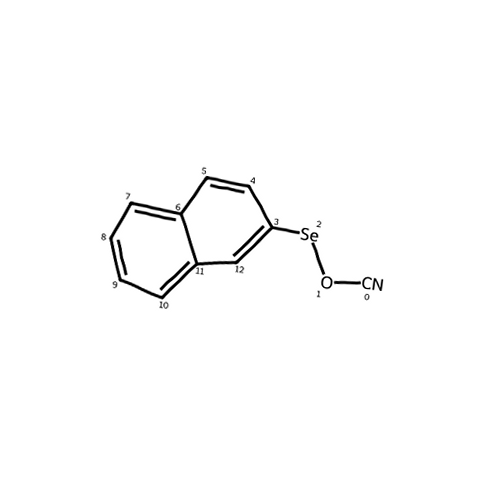 N#CO[Se]c1ccc2ccccc2c1